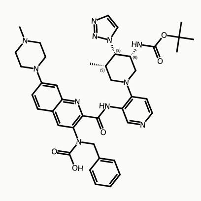 C[C@H]1CN(c2ccncc2NC(=O)c2nc3cc(N4CCN(C)CC4)ccc3cc2N(Cc2ccccc2)C(=O)O)C[C@@H](NC(=O)OC(C)(C)C)[C@H]1n1ccnn1